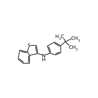 CC(C)(C)c1ccc(Nc2csc3ccccc23)cc1